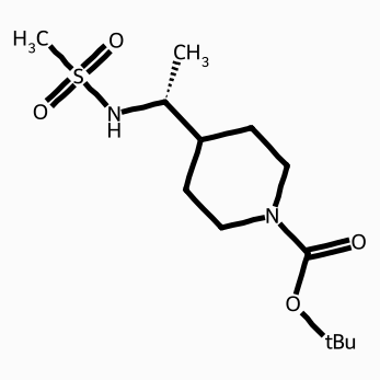 C[C@@H](NS(C)(=O)=O)C1CCN(C(=O)OC(C)(C)C)CC1